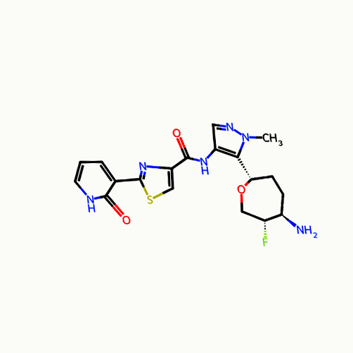 Cn1ncc(NC(=O)c2csc(-c3ccc[nH]c3=O)n2)c1[C@@H]1CC[C@@H](N)[C@H](F)CO1